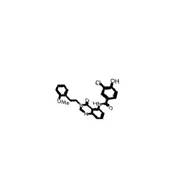 COc1ccccc1CCn1cnc2cccc(NC(=O)c3ccc(O)c(Cl)c3)c2c1=O